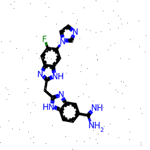 N=C(N)c1ccc2[nH]c(Cc3nc4cc(F)c(-n5ccnc5)cc4[nH]3)nc2c1